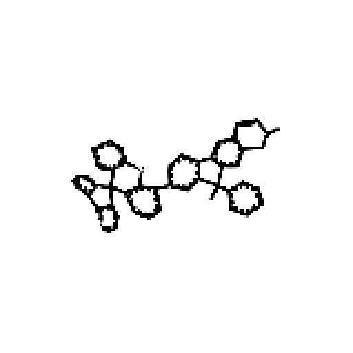 CC1C=Cc2cc3c(cc2C1)C(C)(c1ccccc1)c1cc(-c2cccc4c2Oc2ccccc2C42c4ccccc4-c4ccccc42)ccc1-3